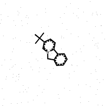 CC(C)(C)c1ccc2[n+](c1)Cc1ccccc1-2